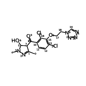 CC1=NN(C)C(O)C1C(=O)c1ccc(Cl)c(OCCn2cnnn2)c1Cl